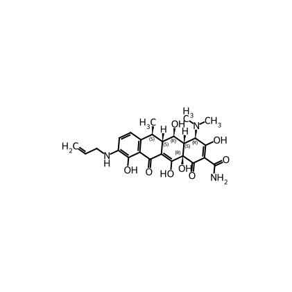 C=CCNc1ccc2c(c1O)C(=O)C1=C(O)[C@@]3(O)C(=O)C(C(N)=O)=C(O)[C@H](N(C)C)[C@H]3[C@H](O)[C@H]1[C@@H]2C